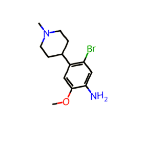 COc1cc(C2CCN(C)CC2)c(Br)cc1N